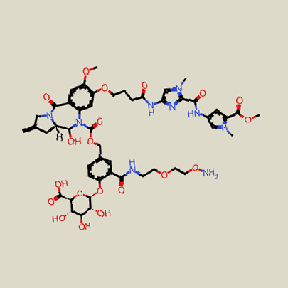 C=C1C[C@H]2C(O)N(C(=O)OCc3ccc(O[C@@H]4O[C@H](C(=O)O)[C@@H](O)[C@H](O)[C@H]4O)c(C(=O)NCCOCCON)c3)c3cc(OCCCC(=O)Nc4cn(C)c(C(=O)Nc5cc(C(=O)OC)n(C)c5)n4)c(OC)cc3C(=O)N2C1